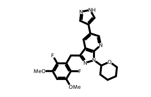 COc1cc(OC)c(F)c(Cc2nn(C3CCCCO3)c3ncc(-c4cn[nH]c4)cc23)c1F